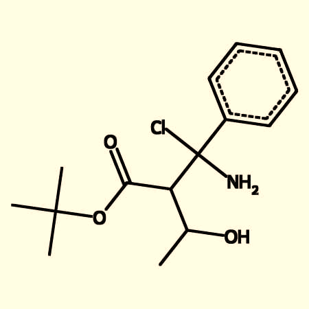 CC(O)C(C(=O)OC(C)(C)C)C(N)(Cl)c1ccccc1